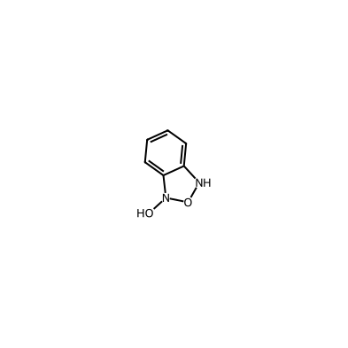 ON1ONc2ccccc21